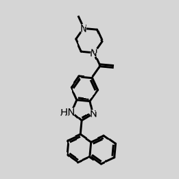 C=C(c1ccc2[nH]c(-c3cccc4ccccc34)nc2c1)N1CCN(C)CC1